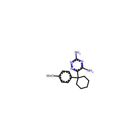 COc1ccc(C2(c3nnc(N)nc3N)CCCCC2)cc1